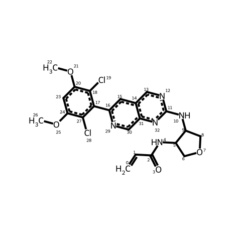 C=CC(=O)NC1COCC1Nc1ncc2cc(-c3c(Cl)c(OC)cc(OC)c3Cl)ncc2n1